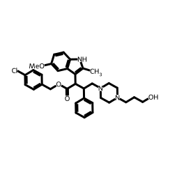 COc1ccc2[nH]c(C)c(C(C(=O)OCc3ccc(Cl)cc3)C(CN3CCN(CCCO)CC3)c3ccccc3)c2c1